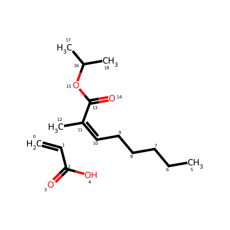 C=CC(=O)O.CCCCCC=C(C)C(=O)OC(C)C